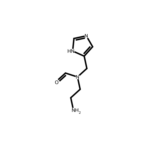 NCCN(C=O)Cc1cnc[nH]1